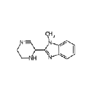 Cn1c(C2C#[N+]CCN2)nc2ccccc21